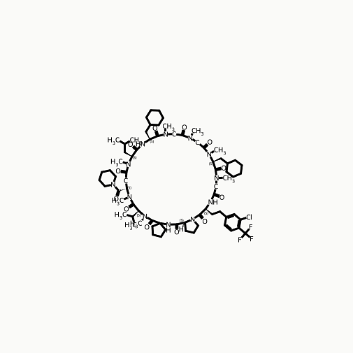 CC(C)C[C@H]1C(=O)N[C@@H](CC2CCCCC2)C(=O)N(C)CC(=O)N(C)CC(=O)N(C)[C@@H](CC2CCCCC2)C(=O)N(C)CC(=O)N[C@@H](CCc2ccc(C(F)(F)F)c(Cl)c2)C(=O)N2CCC[C@H]2C(=O)NC2(CCCC2)C(=O)N(C)[C@@H](C(C)C)C(=O)N(C)[C@H](C(=O)N2CCCCC2)CC(=O)N1C